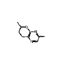 Cc1cnc2c(n1)OC(C)CC2